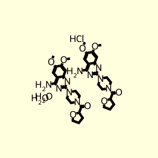 COc1cc2nc(N3CCN(C(=O)C4CCCO4)CC3)nc(N)c2cc1OC.COc1cc2nc(N3CCN(C(=O)C4CCCO4)CC3)nc(N)c2cc1OC.Cl.O.O